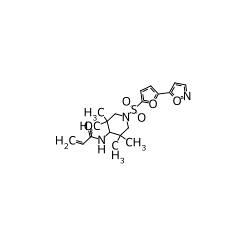 C=CC(=O)NC1C(C)(C)CN(S(=O)(=O)c2ccc(-c3ccno3)o2)CC1(C)C